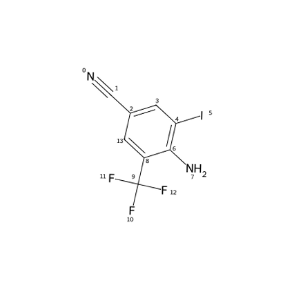 N#Cc1cc(I)c(N)c(C(F)(F)F)c1